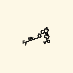 CCC/C(=C\CC/C=C/c1ccc(C2=CCC3=CN=CC=C(N4CC/C=C(\C(=O)C5CC5)CCC4)C3=C2)cc1)CCC(F)F